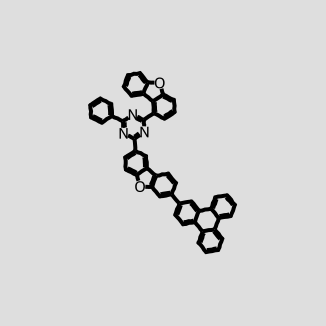 c1ccc(-c2nc(-c3ccc4oc5cc(-c6ccc7c8ccccc8c8ccccc8c7c6)ccc5c4c3)nc(-c3cccc4oc5ccccc5c34)n2)cc1